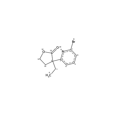 CCC1(c2cccc(Br)n2)CCOC1=O